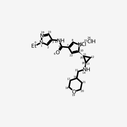 CCn1cc(NC(=O)c2csc([C@@H]3C[C@H]3NCC3CCOCC3)c2)cn1.Cl.Cl